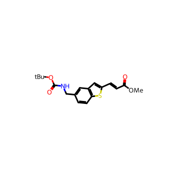 COC(=O)/C=C/c1cc2cc(CNC(=O)OC(C)(C)C)ccc2s1